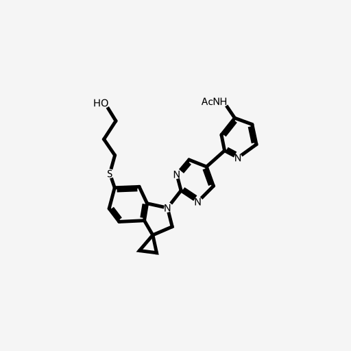 CC(=O)Nc1ccnc(-c2cnc(N3CC4(CC4)c4ccc(SCCCO)cc43)nc2)c1